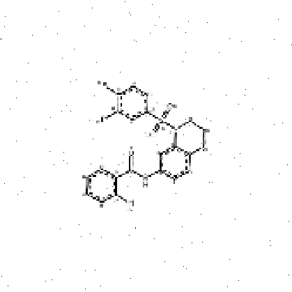 O=C(Nc1ccc2c(c1)N(S(=O)(=O)c1ccc(F)c(F)c1)CCC2)c1ccccc1Cl